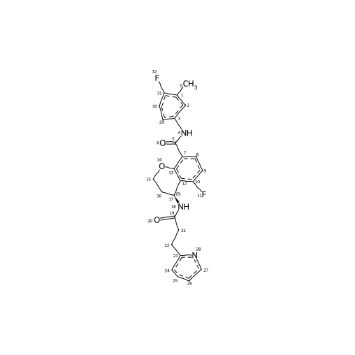 Cc1cc(NC(=O)c2ccc(F)c3c2OCC[C@@H]3NC(=O)CCc2ccccn2)ccc1F